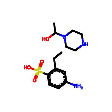 CC(O)N1CCNCC1.CCc1cc(N)ccc1S(=O)(=O)O